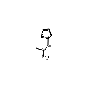 C[C@@H](Nc1ccsc1)C(=O)O